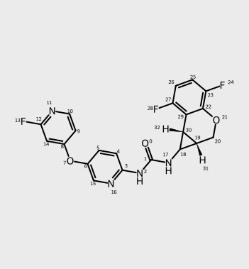 O=C(Nc1ccc(Oc2ccnc(F)c2)cn1)NC1[C@H]2COc3c(F)ccc(F)c3[C@@H]12